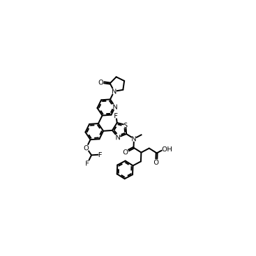 CN(C(=O)C(CC(=O)O)Cc1ccccc1)c1nc(-c2cc(OC(F)F)ccc2-c2ccc(N3CCCC3=O)nc2)c(F)s1